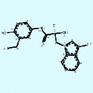 C[C@](O)(Cn1cc(F)c2ccccc21)C(=O)Nc1ccc(C#N)c(CI)c1